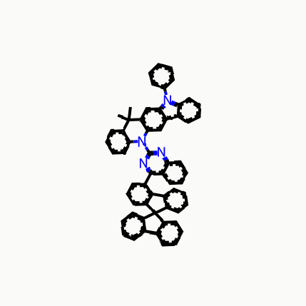 CC1(C)c2ccccc2N(c2nc(-c3cccc4c3-c3ccccc3C43c4ccccc4-c4ccccc43)c3ccccc3n2)c2cc3c4ccccc4n(-c4ccccc4)c3cc21